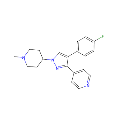 CN1CCC(n2cc(-c3ccc(F)cc3)c(-c3ccncc3)n2)CC1